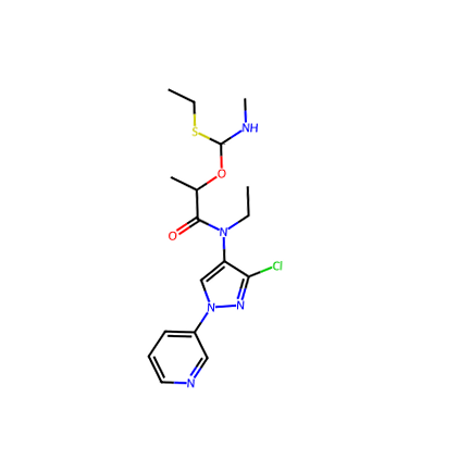 CCS[C](NC)OC(C)C(=O)N(CC)c1cn(-c2cccnc2)nc1Cl